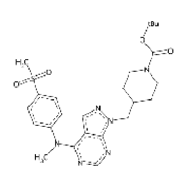 CN(c1ccc(S(C)(=O)=O)cc1)c1ncnc2c1cnn2CC1CCN(C(=O)OC(C)(C)C)CC1